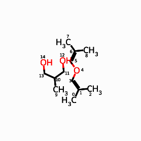 CC(C)=COC=C(C)C.CC(CO)CO